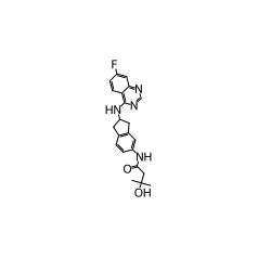 CC(C)(O)CC(=O)Nc1ccc2c(c1)CC(Nc1ncnc3cc(F)ccc13)C2